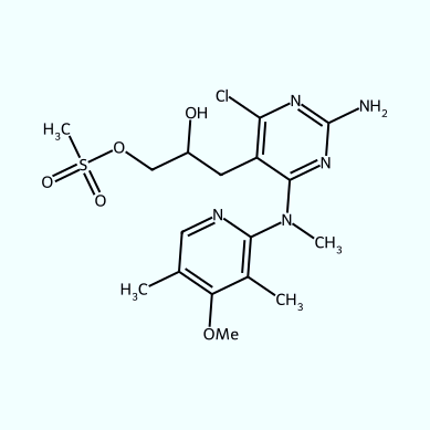 COc1c(C)cnc(N(C)c2nc(N)nc(Cl)c2CC(O)COS(C)(=O)=O)c1C